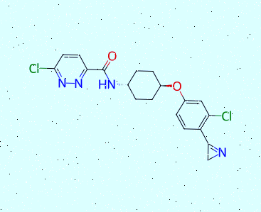 O=C(N[C@H]1CC[C@H](Oc2ccc(C3=NC3)c(Cl)c2)CC1)c1ccc(Cl)nn1